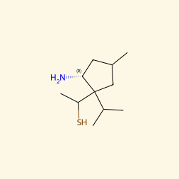 CC1C[C@@H](N)C(C(C)C)(C(C)S)C1